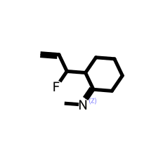 C=CC(F)C1CCCC/C1=N/C